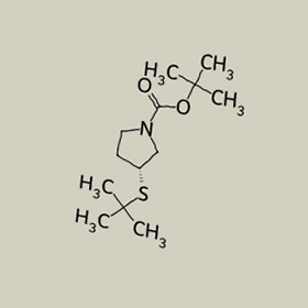 CC(C)(C)OC(=O)N1CC[C@@H](SC(C)(C)C)C1